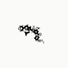 COc1cc(C(=O)N2CCCC(N)C2)cc2nc(-c3cc4ccc(C5CCOCC5)nc4n3CC3CC3)n(C)c12